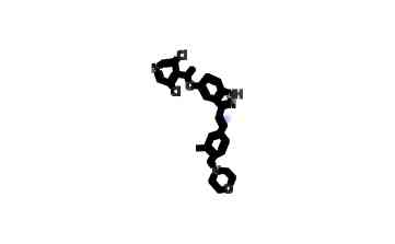 Cc1cc(/C=C/c2n[nH]c3ccc(OC(C)c4c(Cl)cncc4Cl)cc23)ccc1CN1CCOCC1